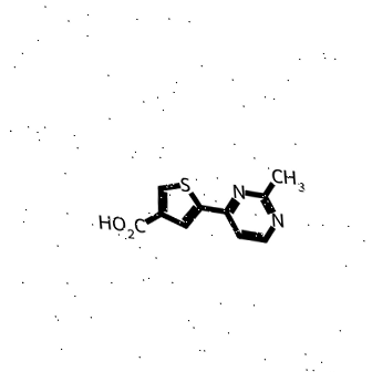 Cc1nccc(-c2cc(C(=O)O)cs2)n1